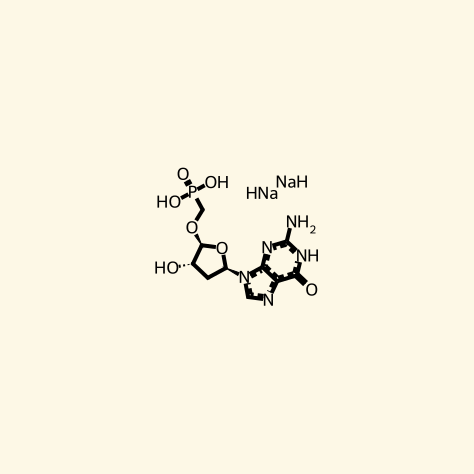 Nc1nc2c(ncn2[C@H]2C[C@H](O)[C@@H](OCP(=O)(O)O)O2)c(=O)[nH]1.[NaH].[NaH]